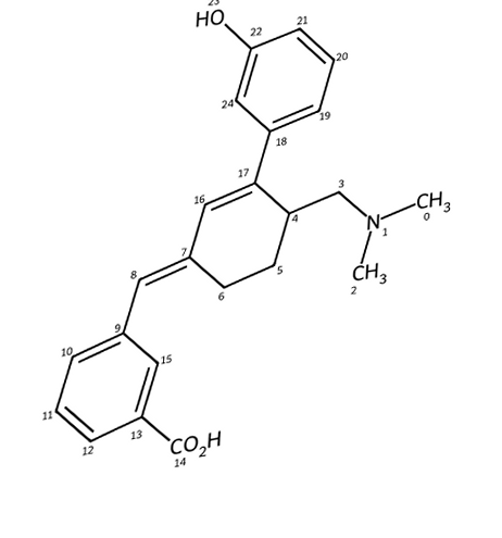 CN(C)CC1CC/C(=C\c2cccc(C(=O)O)c2)C=C1c1cccc(O)c1